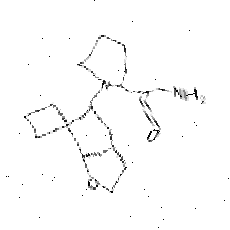 NC(=O)C1CCCN1C1C2CCOC2C12CCC2